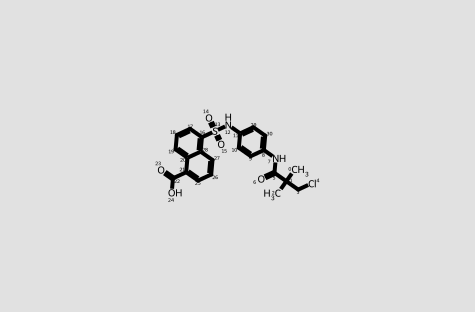 CC(C)(CCl)C(=O)Nc1ccc(NS(=O)(=O)c2cccc3c(C(=O)O)cccc23)cc1